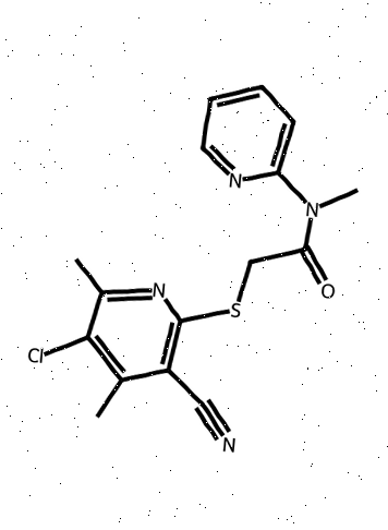 Cc1nc(SCC(=O)N(C)c2ccccn2)c(C#N)c(C)c1Cl